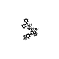 OC[C@H](NCCNC(c1ccccc1)c1ccccc1)c1cc(-c2ccc(C(F)(F)F)cc2)nc(C(F)(F)F)c1